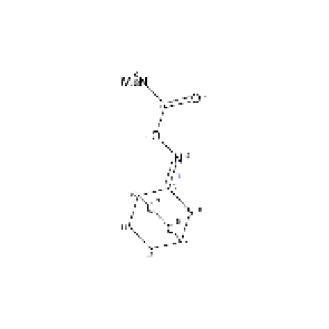 CNC(=O)O/N=C1/SC2CCC1CC2